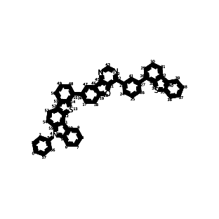 c1ccc(-n2c3ccccc3c3c4sc5c(-c6ccc7oc8c(-c9cccc(-c%10cccc%11c%10sc%10ccccc%10%11)c9)ncnc8c7c6)cccc5c4ccc32)cc1